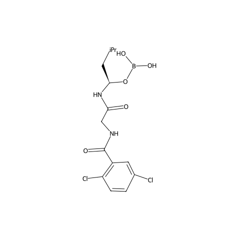 CC(C)C[C@H](NC(=O)CNC(=O)c1cc(Cl)ccc1Cl)OB(O)O